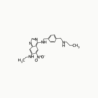 CCCNCc1ccc(CNc2ncnc3cc(NCC)c([N+](=O)[O-])cc23)cc1